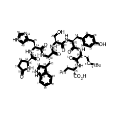 CC(C)C[C@H](NC(=O)[C@@H](COC(C)(C)C)NC(=O)[C@H](Cc1ccc(O)cc1)NC(=O)[C@H](CO)NC(=O)[C@H](Cc1c[nH]c2ccccc12)NC(=O)[C@H](Cc1c[nH]cn1)NC(=O)[C@@H]1CCC(=O)N1)C(=O)O